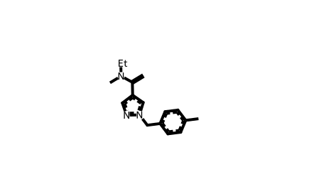 C=C(c1cnn(Cc2ccc(C)cc2)c1)N(C)CC